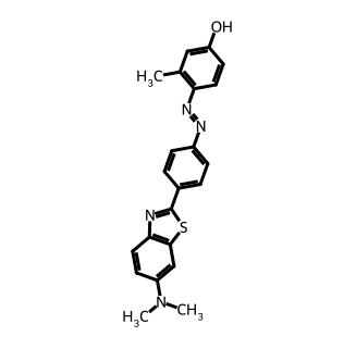 Cc1cc(O)ccc1/N=N/c1ccc(-c2nc3ccc(N(C)C)cc3s2)cc1